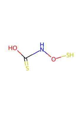 OC(=S)NOS